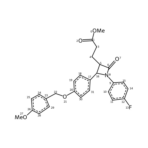 COC(=O)CCC1C(=O)N(c2ccc(F)cc2)C1c1ccc(OCc2ccc(OC)cc2)cc1